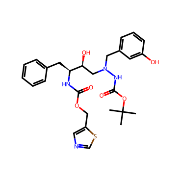 CC(C)(C)OC(=O)NN(Cc1cccc(O)c1)C[C@H](O)[C@H](Cc1ccccc1)NC(=O)OCc1cncs1